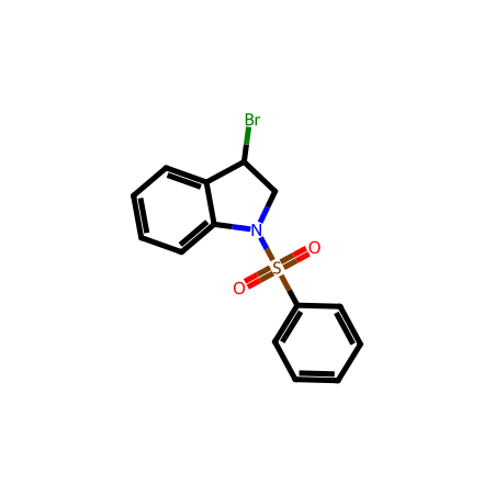 O=S(=O)(c1ccccc1)N1CC(Br)c2ccccc21